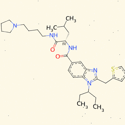 CCC(CC)n1c(Cc2cccs2)nc2cc(C(=O)N[C@@H](CC(C)C)C(=O)NCCCCN3CCCC3)ccc21